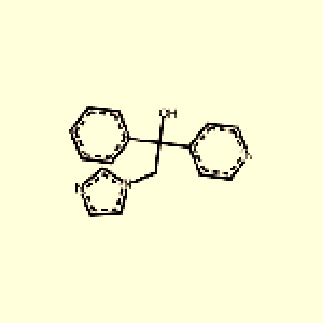 OC(Cn1ccnc1)(c1ccccc1)c1ccncc1